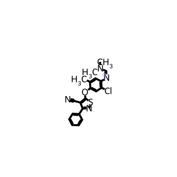 Cc1cc(/N=C\N(C)C)c(Cl)cc1Oc1snc(-c2ccccc2)c1C#N